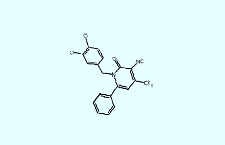 [C-]#[N+]c1c(C(F)(F)F)cc(-c2ccccc2)n(Cc2ccc(Cl)c(Cl)c2)c1=O